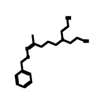 CC(CCCN(CCO)CCO)=NOCc1ccccc1